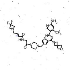 Nc1cc(C(F)(F)F)c(-c2nc(N3CC4(COC4)C3)c3cc(CN4CCN(C(=O)CNC(=O)/C=C/CN5CC(F)(F)C5)CC4)cn3n2)cn1